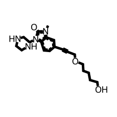 Cn1c(=O)n(C2CNCCN2)c2ccc(C#CCOCCCCCO)cc21